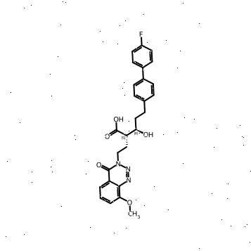 COc1cccc2c(=O)n(CC[C@H](C(=O)O)[C@H](O)CCc3ccc(-c4ccc(F)cc4)cc3)nnc12